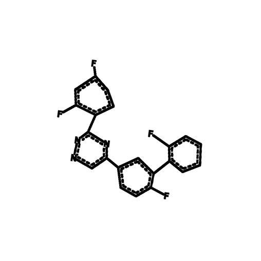 Fc1ccc(-c2nncc(-c3ccc(F)c(-c4ccccc4F)c3)n2)c(F)c1